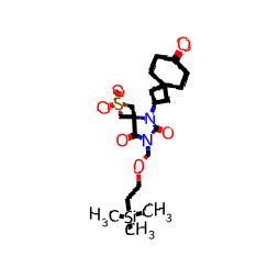 C[Si](C)(C)CCOCN1C(=O)N(C2CC3(CCC(=O)CC3)C2)C2(CS(=O)(=O)C2)C1=O